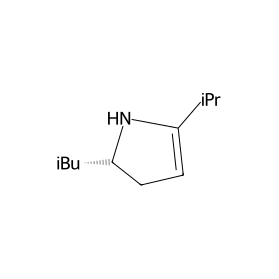 CC[C@@H](C)C1CC=C(C(C)C)N1